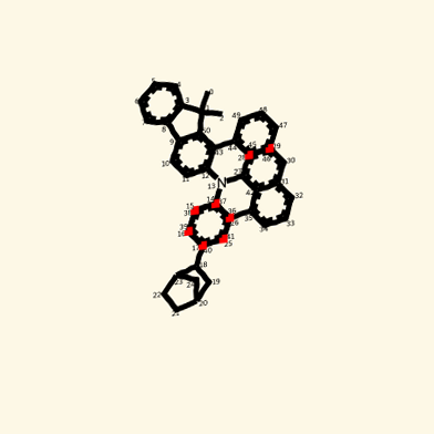 CC1(C)c2ccccc2-c2ccc(N(c3ccc(C4CC5CCC4C5)cc3)c3cccc4cccc(C5CCCCC5)c34)c(-c3ccccc3)c21